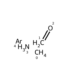 C.C=O.N.[Ar]